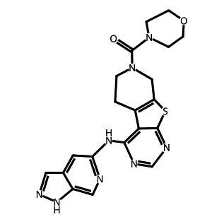 O=C(N1CCOCC1)N1CCc2c(sc3ncnc(Nc4cc5cn[nH]c5cn4)c23)C1